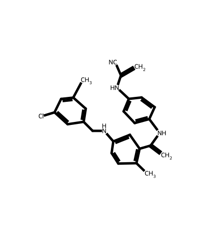 C=C(C#N)Nc1ccc(NC(=C)c2cc(NCc3cc(C)cc(Cl)c3)ccc2C)cc1